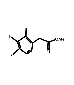 COC(=O)Cc1ccc(F)c(F)c1C